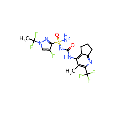 Cc1c(C(F)(F)F)nc2c(c1NC(=O)N=S(N)(=O)c1nn(C(C)(F)F)cc1F)CCC2